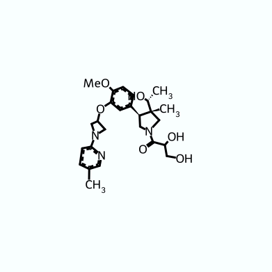 COc1ccc([C@@H]2CN(C(=O)C(O)CO)C[C@@]2(C)[C@@H](C)O)cc1OC1CN(c2ccc(C)cn2)C1